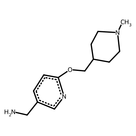 CN1CCC(COc2ccc(CN)cn2)CC1